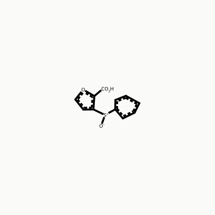 O=C(O)c1occc1[S+]([O-])c1ccccc1